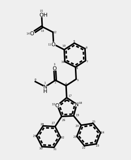 CNC(=O)C(Cc1cccc(OCC(=O)O)c1)c1nc(-c2ccccc2)c(-c2ccccc2)o1